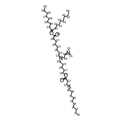 CCCCCCCCCCSCCC(=O)OCCCCCN(CCCCCCCC(=O)OC(CCCCCCCC)CCCCCCCC)CCN(C)C